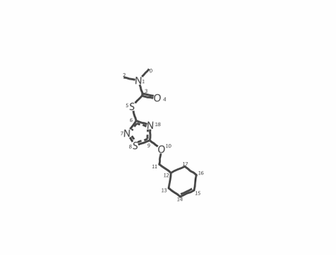 CN(C)C(=O)Sc1nsc(OCC2CC=CCC2)n1